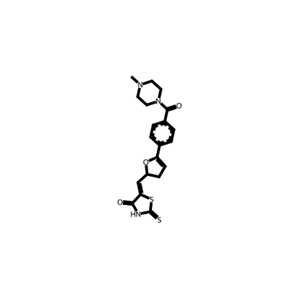 CN1CCN(C(=O)c2ccc(C3=CCC(/C=C4\SC(=S)NC4=O)O3)cc2)CC1